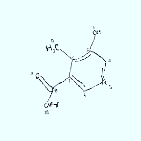 Cc1c(O)cncc1C(=O)O